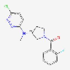 CN(c1ccc(Cl)nn1)[C@@H]1CCN(C(=O)c2ccccc2F)C1